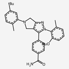 Cc1ccc(C(C)(C)C)cc1N1Cc2nn(-c3c(C)cccc3OCC(C)C)c(-c3ccc(C(N)=O)cc3)c2C1